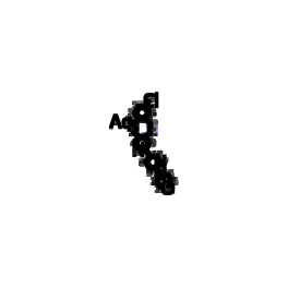 CC(=O)N1Cc2cnc(-c3ccc(N4CCOCC4)nc3)cc2/C=C\c2cc(Cl)ccc21